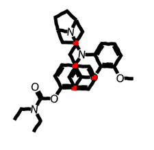 CCN(CC)C(=O)Oc1ccc2c(c1)Oc1c(OC)cccc1N2C1CC2CCC(C1)N2CCc1ccccc1